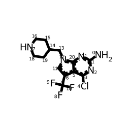 Nc1nc(Cl)c2c(C(F)(F)F)cn(CC3CCNCC3)c2n1